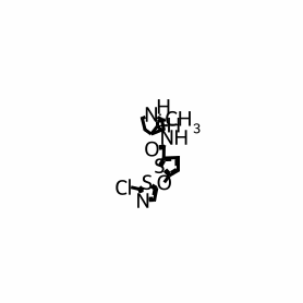 C[C@H]1[C@H](NC(=O)c2ccc(Oc3cnc(Cl)s3)s2)C2CCN1CC2